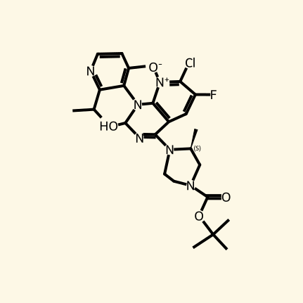 Cc1ccnc(C(C)C)c1N1c2c(cc(F)c(Cl)[n+]2[O-])C(N2CCN(C(=O)OC(C)(C)C)C[C@@H]2C)=NC1O